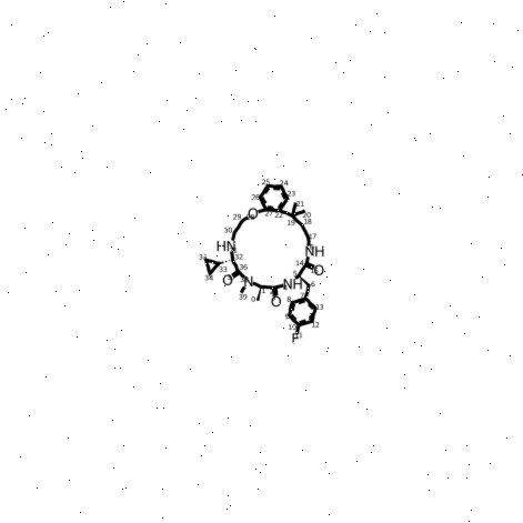 C[C@@H]1C(=O)N[C@H](Cc2ccc(F)cc2)C(=O)NCCC(C)(C)c2ccccc2OCCN[C@@H](C2CC2)C(=O)N1C